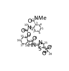 CNC(=O)c1ccccc1N(C)C(=O)Oc1ccccc1C(=O)Nc1ncc(S(C)(=O)=O)s1